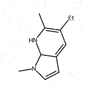 CCC1=C(C)NC2C(=C1)C=CN2C